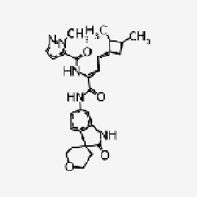 CC1C/C(=C\C=C(NC(=O)c2ccnn2C)C(=O)Nc2ccc3c(c2)NC(=O)C32CCOCC2)C1C